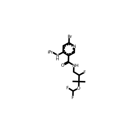 CC(C)Nc1cc(Br)ncc1C(=O)NCC(F)C(C)(C)OC(F)F